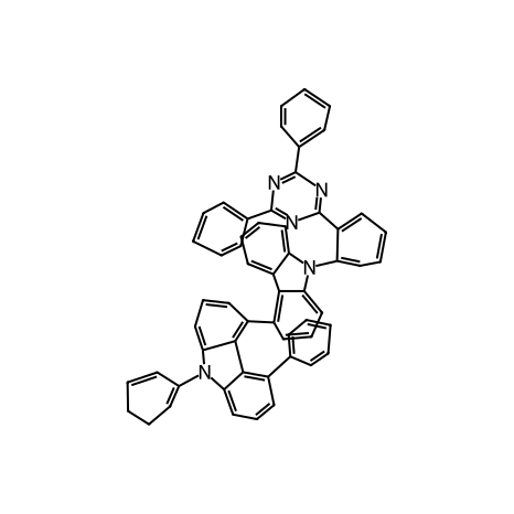 C1=CC(n2c3cccc(-c4ccccc4)c3c3c(-c4cccc5c4c4ccccc4n5-c4ccccc4-c4nc(-c5ccccc5)nc(-c5ccccc5)n4)cccc32)=CCC1